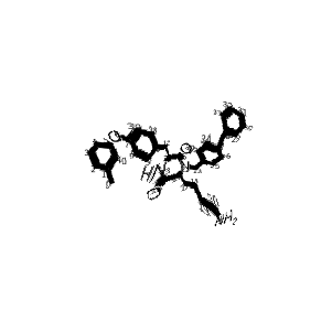 Cc1cccc(Oc2ccc(C[C@@H]3NC(=O)[C@H](CCCCN)N(Cc4ccc(-c5ccccc5)cc4)C3=O)cc2)c1